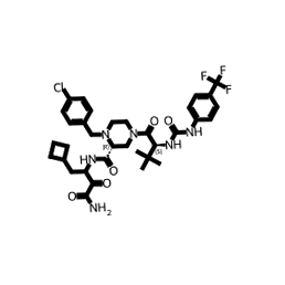 CC(C)(C)[C@H](NC(=O)Nc1ccc(C(F)(F)F)cc1)C(=O)N1CCN(Cc2ccc(Cl)cc2)[C@@H](C(=O)NC(CC2CCC2)C(=O)C(N)=O)C1